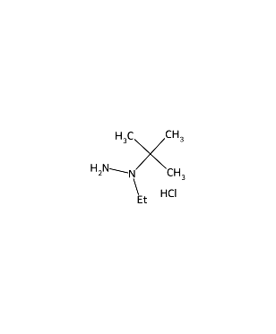 CCN(N)C(C)(C)C.Cl